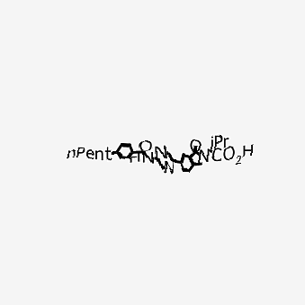 CCCCCc1ccc(C(=O)Nc2cnc(-c3ccc4c(c3)C(=O)N(C(C(=O)O)C(C)C)C4)cn2)cc1